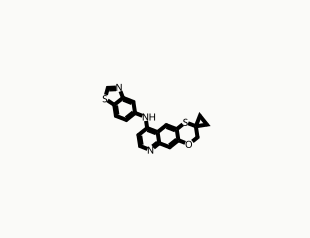 c1cc(Nc2ccc3scnc3c2)c2cc3c(cc2n1)OCC1(CC1)S3